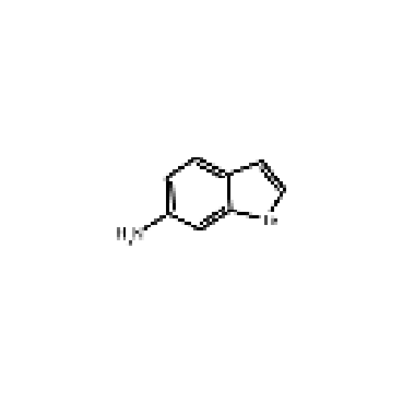 Nc1ccc2cc[te]c2c1